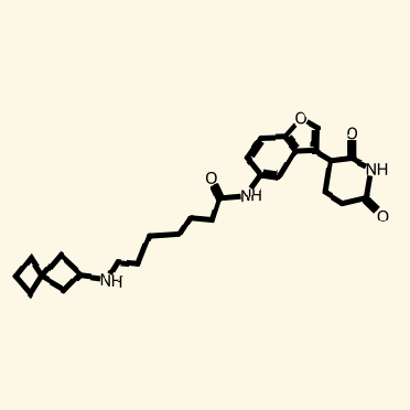 O=C1CCC(c2coc3ccc(NC(=O)CCCCCCNC4CC5(CCC5)C4)cc23)C(=O)N1